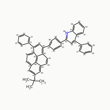 CC(C)(C)c1cc2ccc3c(-c4ccccc4)cc(-c4ccc(-c5cc(-c6ccccc6)c6ccccc6n5)cc4)c4ccc(c1)c2c34